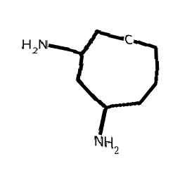 NC1CCCCCC(N)C1